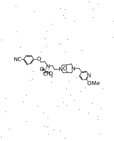 COc1ccc(CN2CC3CN(CCN(CCOc4ccc(C#N)cc4)S(C)(=O)=O)CC(C2)O3)cn1